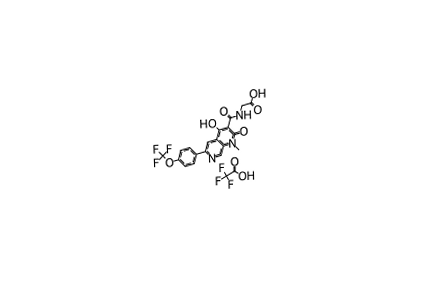 Cn1c(=O)c(C(=O)NCC(=O)O)c(O)c2cc(-c3ccc(OC(F)(F)F)cc3)ncc21.O=C(O)C(F)(F)F